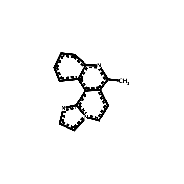 Cc1nc2ccccc2c2c1ccn1ccnc21